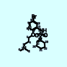 CN(C)CCCOc1ncc(Br)cc1NS(=O)(=O)N1CCCCC1